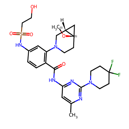 CO[C@@]12CCN(c3cc(NS(=O)(=O)CCO)ccc3C(=O)Nc3cc(C)nc(N4CCC(F)(F)CC4)n3)C[C@@H]1C2